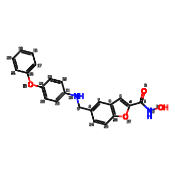 O=C(NO)c1cc2cc(CNc3ccc(Oc4ccccc4)cc3)ccc2o1